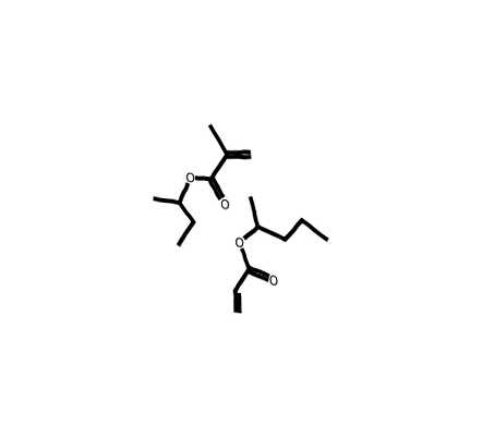 C=C(C)C(=O)OC(C)CC.C=CC(=O)OC(C)CCC